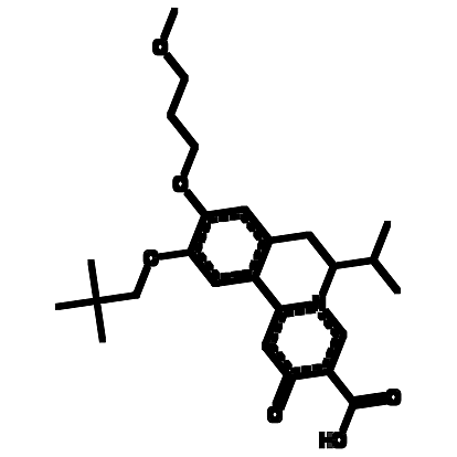 COCCCOc1cc2c(cc1OCC(C)(C)C)-c1cc(=O)c(C(=O)O)cn1C(C(C)C)C2